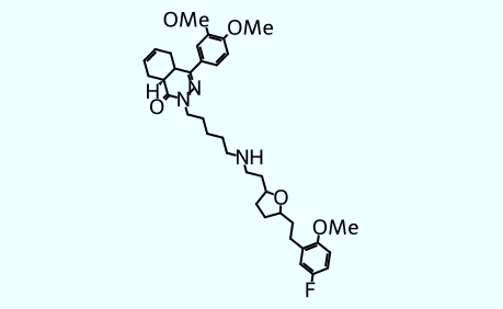 COc1ccc(F)cc1CCC1CCC(CCNCCCCCN2N=C(c3ccc(OC)c(OC)c3)C3CC=CC[C@H]3C2=O)O1